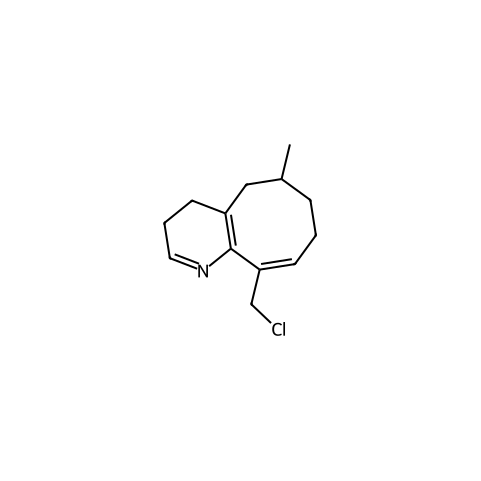 CC1CCC=C(CCl)C2=C(CCC=N2)C1